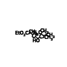 CCOC(=O)C=C(C)c1ccc(C(O)c2ccc3c(c2)C(C)(C)CCC3(C)C)cc1